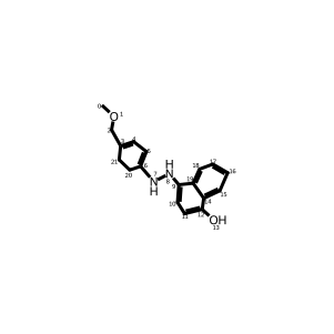 COCC1=CC=C(NNc2ccc(O)c3ccccc23)CC1